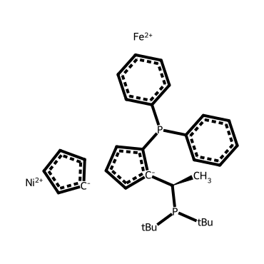 C[C@H]([c-]1cccc1P(c1ccccc1)c1ccccc1)P(C(C)(C)C)C(C)(C)C.[Fe+2].[Ni+2].c1cc[cH-]c1